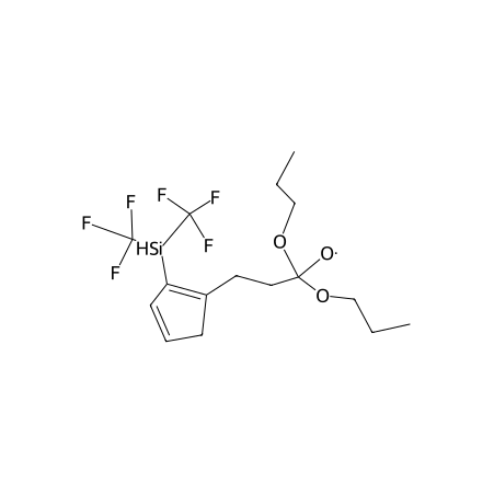 CCCOC([O])(CCC1=C([SiH](C(F)(F)F)C(F)(F)F)C=CC1)OCCC